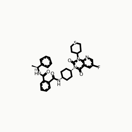 C[C@H](NC(=O)c1ccccc1C(=O)N[C@H]1CC[C@@H](n2c(=O)c3cc(F)cnc3n(C3CCSCC3)c2=O)CC1)c1ccccc1